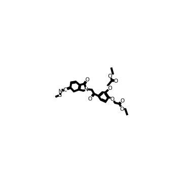 CCOC(=O)COc1ccc(C(=O)CN2CC3=C(C=CC(=C=NSC)C3)C2=O)cc1OCC(=O)OCC